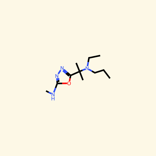 CCCN(CC)C(C)(C)c1nnc(NC)o1